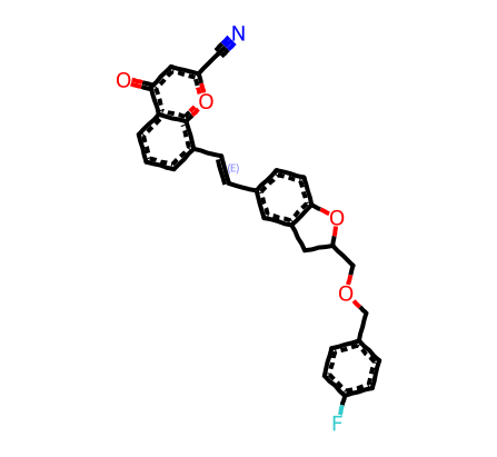 N#Cc1cc(=O)c2cccc(/C=C/c3ccc4c(c3)CC(COCc3ccc(F)cc3)O4)c2o1